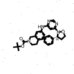 CC(C)(C)OC(=O)N1CCc2ccc(Nc3cc(N4OCC[C@@H]4c4ccccc4)ncn3)cc2C1